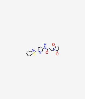 O=C(C=CN1C(=O)CCC1=O)Nc1ccc(-c2nc3ccccc3s2)nc1